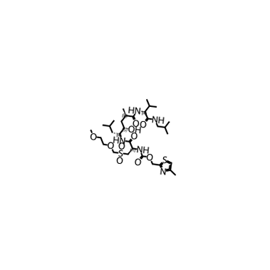 COCCOCS(=O)(=O)C[C@H](NC(=O)OCc1nc(C)cs1)C(=O)N[C@H](CC(C)C)[C@@H](O)C[C@@H](C)C(=O)N[C@@H](C(=O)NCC(C)C)C(C)C